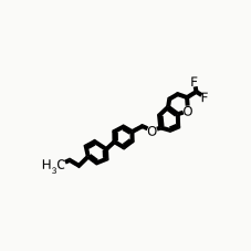 CCCc1ccc(-c2ccc(COc3ccc4c(c3)CCC(C(F)F)O4)cc2)cc1